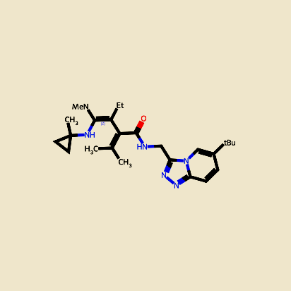 CC/C(C(C(=O)NCc1nnc2ccc(C(C)(C)C)cn12)=C(C)C)=C(\NC)NC1(C)CC1